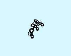 c1ccc2c(c1)oc1ccc(-c3c4ccccc4c(-c4cc5c6ccccc6oc5c5c4oc4ccccc45)c4ccccc34)cc12